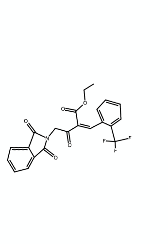 CCOC(=O)C(=Cc1ccccc1C(F)(F)F)C(=O)CN1C(=O)c2ccccc2C1=O